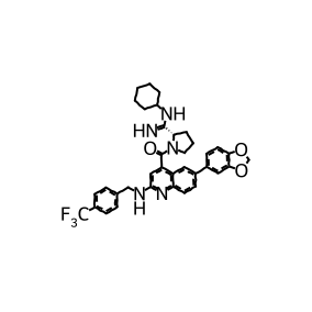 N=C(NC1CCCCC1)[C@@H]1CCCN1C(=O)c1cc(NCc2ccc(C(F)(F)F)cc2)nc2ccc(-c3ccc4c(c3)OCO4)cc12